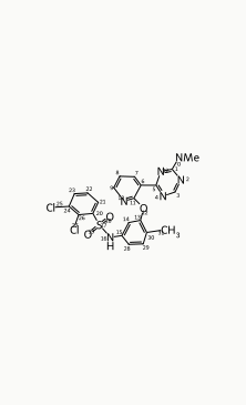 CNc1ncnc(-c2cccnc2Oc2cc(NS(=O)(=O)c3cccc(Cl)c3Cl)ccc2C)n1